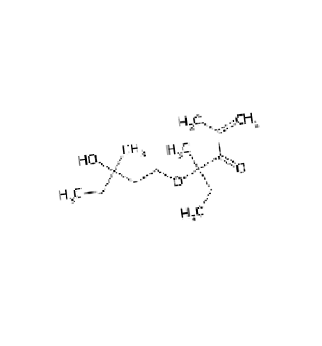 C=C(C)C(=O)C(C)(CC)OCCC(C)(O)CC